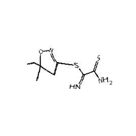 CC1(C)CC(SC(=N)C(N)=S)=NO1